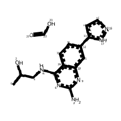 CC(O)CNc1nc(N)nc2cc(-c3ccn[nH]3)ccc12.O=CO